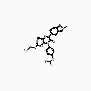 Cn1cc2cc(-c3nc4cnc(OCC(F)(F)F)nc4n(-c4ccc(OC(F)F)cc4)c3=O)ccc2n1